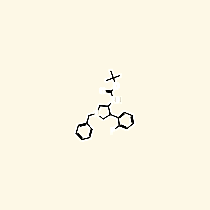 CC(C)(C)OC(=O)NC1CN(Cc2ccccc2)CC1c1ccccc1F